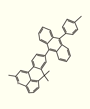 Cc1ccc(-c2c3ccccc3c(-c3ccc4c(c3)C(C)(C)c3cccc5nc(C)cc-4c35)c3ccccc23)cc1